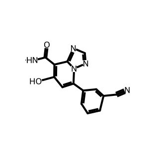 N#Cc1cccc(-c2cc(O)c(C([NH])=O)c3ncnn23)c1